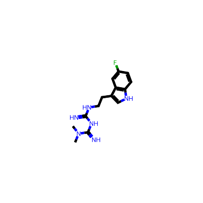 CN(C)C(=N)NC(=N)NCCc1c[nH]c2ccc(F)cc12